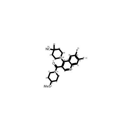 CSC1CCN(C(=O)c2cnc3cc(F)c(F)cc3c2N2CCC(C)(C#N)CC2)CC1